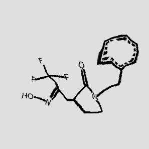 O=C1C(/C(=N/O)C(F)(F)F)CCN1Cc1ccccc1